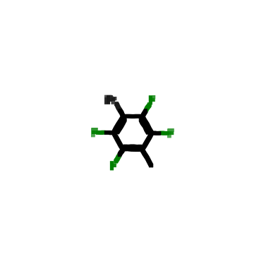 Cc1c(F)c(F)c(C(C)C)c(F)c1F